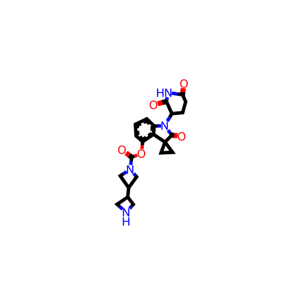 O=C1CCC(N2C(=O)C3(CC3)c3c(OC(=O)N4CC(C5CNC5)C4)cccc32)C(=O)N1